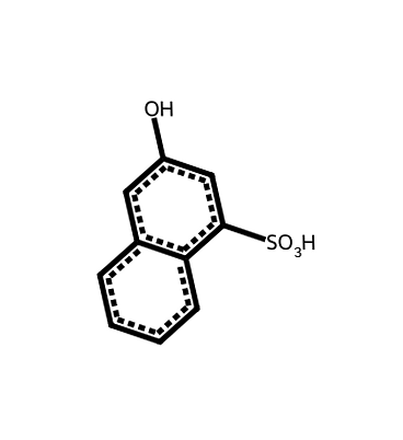 O=S(=O)(O)c1cc(O)cc2ccccc12